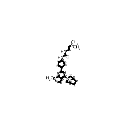 CN(C)CCNC(=O)Nc1ccc(-c2nc(N3CC4CCC(C3)O4)c3cnn(C)c3n2)cc1